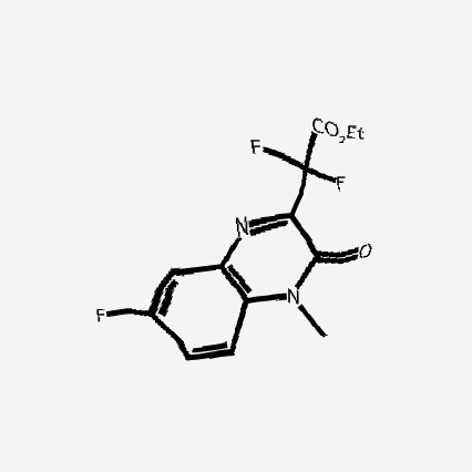 CCOC(=O)C(F)(F)c1nc2cc(F)ccc2n(C)c1=O